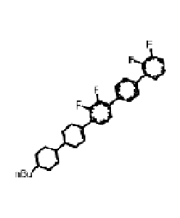 CCCCC1CCC(C2CC=C(c3ccc(-c4ccc(-c5cccc(F)c5F)cc4)c(F)c3F)CC2)CC1